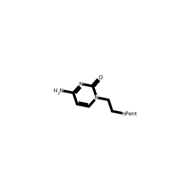 CCCCCCCn1ccc(N)nc1=O